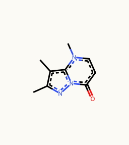 Cc1nn2c(=O)ccn(C)c2c1C